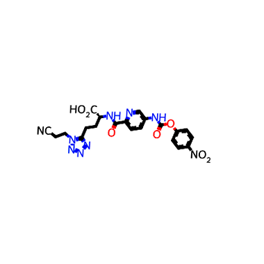 N#CCCn1nnnc1CC[C@H](NC(=O)c1ccc(NC(=O)Oc2ccc([N+](=O)[O-])cc2)cn1)C(=O)O